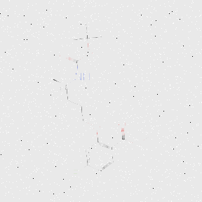 COC(=O)c1ccc(F)cc1OCCC[C@@H](C)NC(=O)OC(C)(C)C